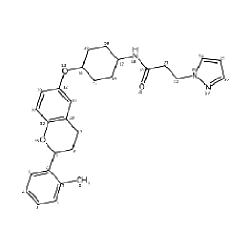 Cc1ccccc1C1CCc2cc(OC3CCC(NC(=O)CCn4cccn4)CC3)ccc2O1